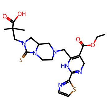 CCOC(=O)C1=C(CN2CCN3C(=S)N(CC(C)(C)C(=O)O)CC3C2)NC(c2nccs2)=NC1